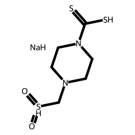 O=[SH](=O)CN1CCN(C(=S)S)CC1.[NaH]